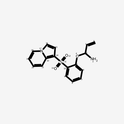 C=CC(N)Oc1ccccc1S(=O)(=O)c1ccn2ccccc12